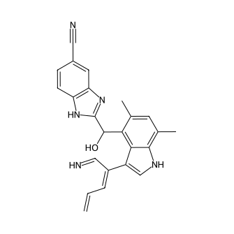 C=C/C=C(\C=N)c1c[nH]c2c(C)cc(C)c(C(O)c3nc4cc(C#N)ccc4[nH]3)c12